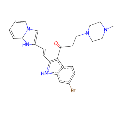 CN1CCN(CCC(=O)c2c(/C=C/C3=CN4C=CC=CC4N3)[nH]c3cc(Br)ccc23)CC1